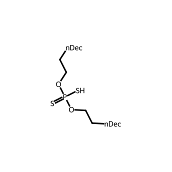 CCCCCCCCCCCCOP(=S)(S)OCCCCCCCCCCCC